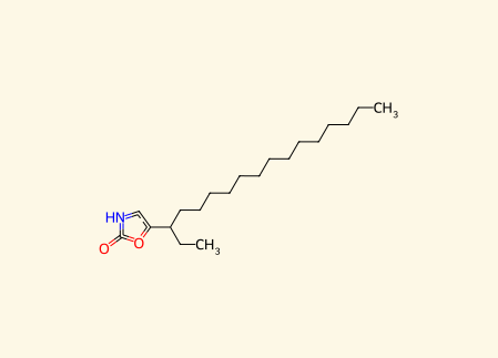 CCCCCCCCCCCCCCC(CC)c1c[nH]c(=O)o1